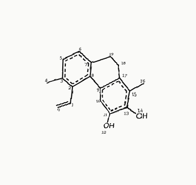 C=Cc1c(C)ccc2c1-c1cc(O)c(O)c(C)c1CC2